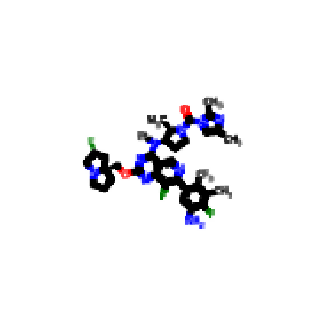 CCN(c1nc(OC[C@@]23CCCN2C[C@H](F)C3)nc2c(F)c(-c3cc(N)c(F)c(C)c3C(F)(F)F)ncc12)[C@@H]1CCN(C(=O)n2cc(C)nc2C)[C@@H]1C